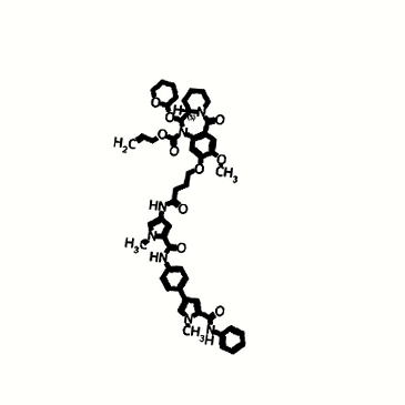 C=CCOC(=O)N1c2cc(OCCCC(=O)Nc3cc(C(=O)Nc4ccc(-c5cc(C(=O)Nc6ccccc6)n(C)c5)cc4)n(C)c3)c(OC)cc2C(=O)N2CCCC[C@H]2C1OC1CCCCO1